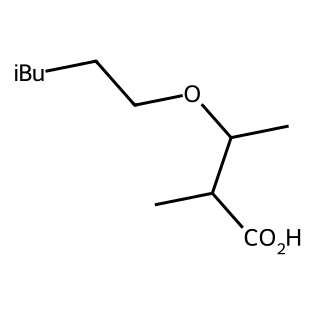 CCC(C)CCOC(C)C(C)C(=O)O